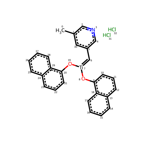 Cc1cncc([CH]=[Ti]([O]c2cccc3ccccc23)[O]c2cccc3ccccc23)c1.Cl.Cl